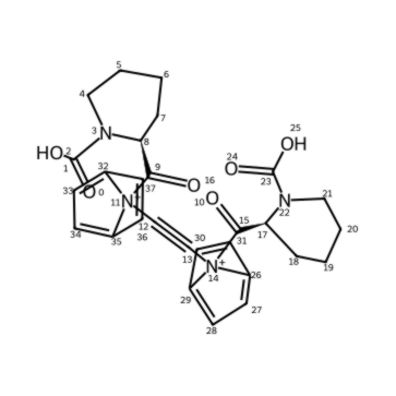 O=C(O)N1CCCC[C@H]1C(=O)[N+]1(C#C[N+]2(C(=O)[C@@H]3CCCCN3C(=O)O)C3=CC=C2C=C3)C2=CC=C1C=C2